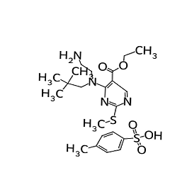 CCOC(=O)c1cnc(SC)nc1N(CCN)CC(C)(C)C.Cc1ccc(S(=O)(=O)O)cc1